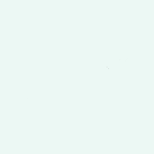 C=C(C)C(=O)CCNCCCCCCCCCCCCCCCCCC(C)C.Cl